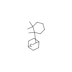 CC1(C)CCCCC1(C)C1CC2CCC1CC2